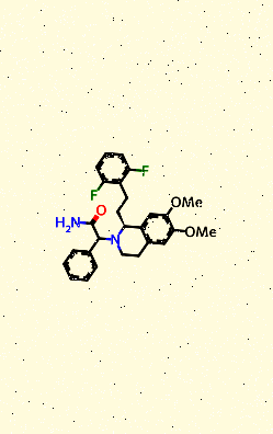 COc1cc2c(cc1OC)[C@H](CCc1c(F)cccc1F)N(C(C(N)=O)c1ccccc1)CC2